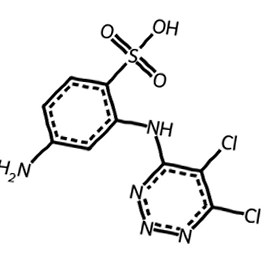 Nc1ccc(S(=O)(=O)O)c(Nc2nnnc(Cl)c2Cl)c1